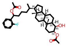 CC(=O)OC(CCCC(C)[C@H]1CC[C@H]2[C@@H]3CC[C@H]4[C@@H](O)[C@@H](OC(C)=O)CC[C@]4(C)[C@H]3CC[C@]12C)c1ccccc1F